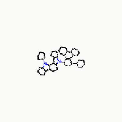 c1ccc(-n2c3ccccc3c3ccc4c(c5ccccc5n4-c4ccc(C5CCCCC5)c5c6ccccc6c6ccccc6c45)c32)cc1